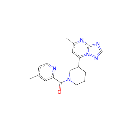 Cc1ccnc(C(=O)N2CCCC(c3cc(C)nc4ncnn34)C2)c1